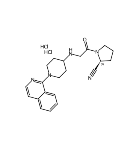 Cl.Cl.N#C[C@@H]1CCCN1C(=O)CNC1CCN(c2nccc3ccccc23)CC1